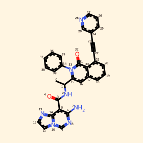 CC(NC(=O)c1c(N)ncn2ccnc12)c1cc2cccc(C#Cc3cccnc3)c2c(=O)n1-c1ccccc1